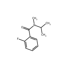 CC(C)N(C)C(=O)c1ccccc1F